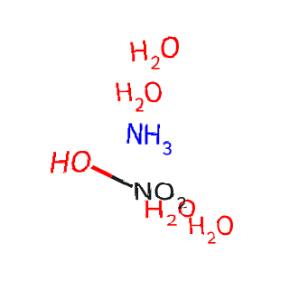 N.O.O.O.O.O=[N+]([O-])O